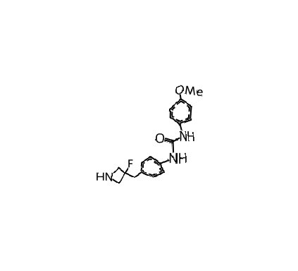 COc1ccc(NC(=O)Nc2ccc(CC3(F)CNC3)cc2)cc1